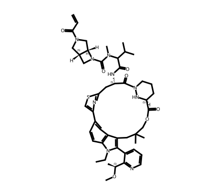 C=CC(=O)N1C[C@H]2CN(C(=O)N(C)C(C(=O)N[C@H]3Cc4nc(cs4)-c4ccc5c(c4)c(c(-c4cccnc4[C@H](C)OC)n5CC)CC(C)(C)COC(=O)[C@@H]4CCCN(N4)C3=O)C(C)C)[C@H]2C1